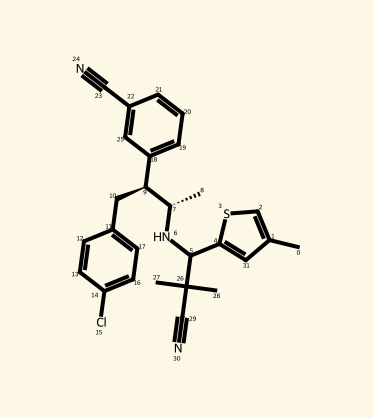 Cc1csc(C(N[C@@H](C)[C@@H](Cc2ccc(Cl)cc2)c2cccc(C#N)c2)C(C)(C)C#N)c1